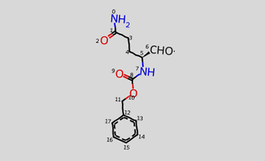 NC(=O)CC[C@@H]([C]=O)NC(=O)OCc1ccccc1